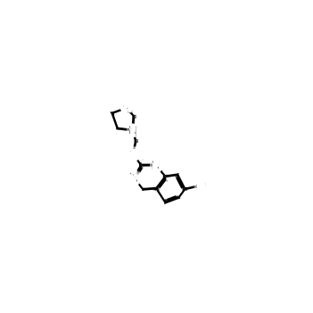 Clc1ccc2c(c1)NC(SCN1CCSC1)=NC2